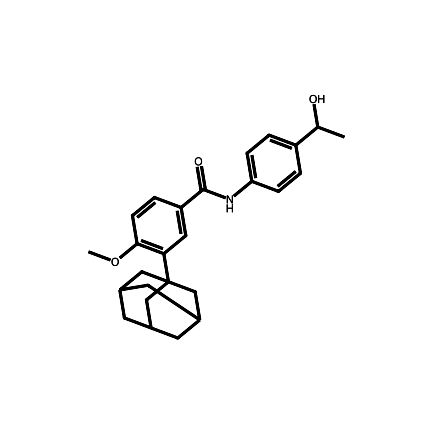 COc1ccc(C(=O)Nc2ccc(C(C)O)cc2)cc1C12CC3CC(CC(C3)C1)C2